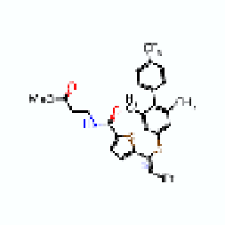 COC(=O)CCNC(=O)c1ccc(/C(=C/C(C)C)Sc2cc(C)c(-c3ccc(C(F)(F)F)cc3)c(C)c2)s1